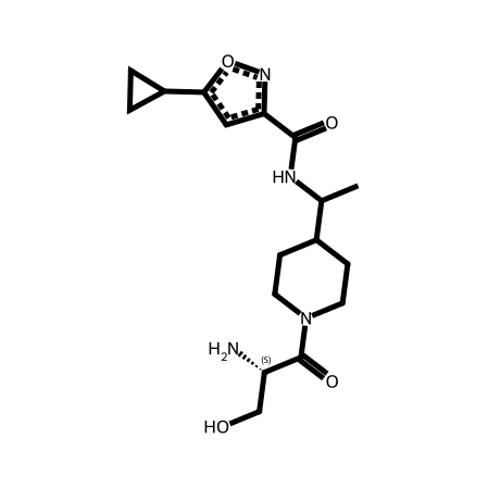 CC(NC(=O)c1cc(C2CC2)on1)C1CCN(C(=O)[C@@H](N)CO)CC1